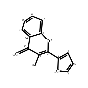 Cc1c(-c2ccco2)oc2ccccc2c1=O